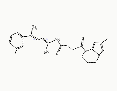 Cc1cccc(/C(N)=C/C=C(\N)NC(=O)CCC(=O)N2CCCn3nc(C)cc32)c1